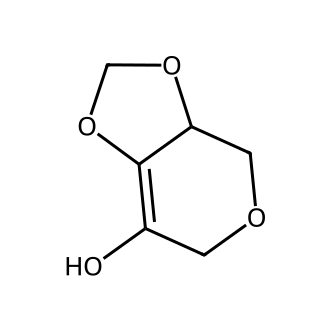 OC1=C2OCOC2COC1